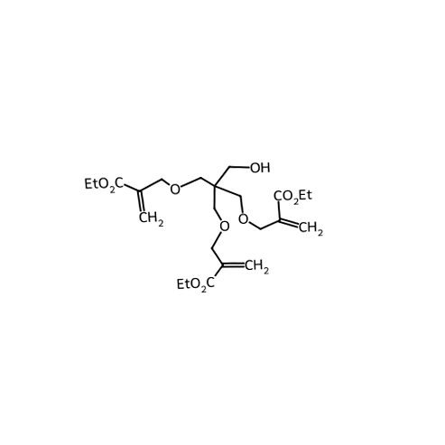 C=C(COCC(CO)(COCC(=C)C(=O)OCC)COCC(=C)C(=O)OCC)C(=O)OCC